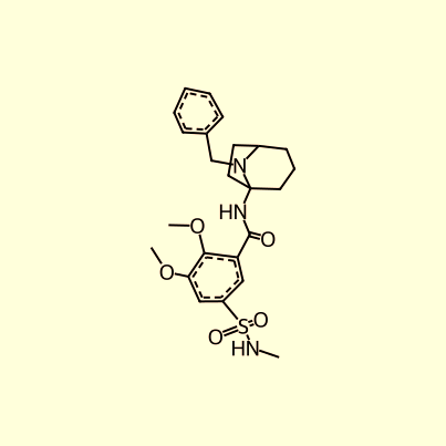 CNS(=O)(=O)c1cc(OC)c(OC)c(C(=O)NC23CCCC(CC2)N3Cc2ccccc2)c1